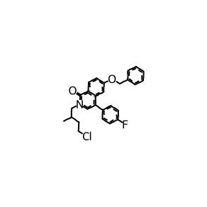 CC(CCCl)Cn1cc(-c2ccc(F)cc2)c2cc(OCc3ccccc3)ccc2c1=O